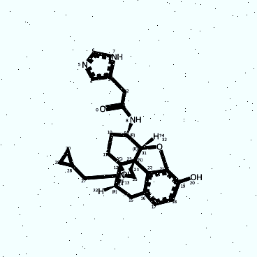 O=C(Cc1cnc[nH]1)N[C@@H]1CC[C@@]2(O)[C@H]3Cc4ccc(O)c5c4[C@@]2(CCN3CC2CC2)[C@H]1O5